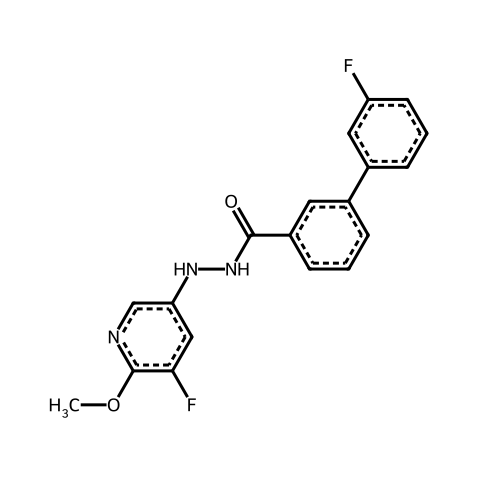 COc1ncc(NNC(=O)c2cccc(-c3cccc(F)c3)c2)cc1F